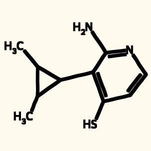 CC1C(C)C1c1c(S)ccnc1N